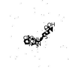 CC(OC(=O)Nc1c(C#Cc2cc3sc(C4(C(=O)O)CC4)cc3s2)nsc1C#N)c1ccccc1Cl